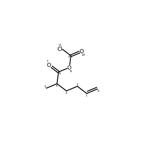 C=CCCC(C)C(=O)OC(=O)Cl